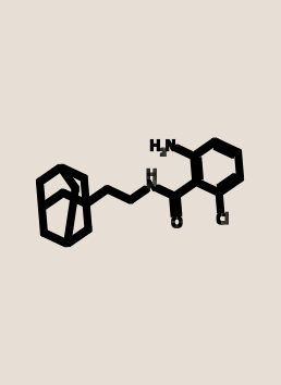 Nc1cccc(Cl)c1C(=O)NCCC12CC3CC(CC(C3)C1)C2